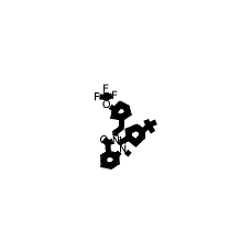 CNc1ccccc1C(=O)N(CCc1cccc(OC(F)(F)F)c1)Cc1ccc(C(C)(C)C)cc1